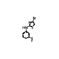 CSc1cccc(Nc2nc(Br)cs2)c1